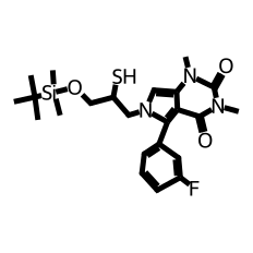 Cn1c(=O)c2c(-c3cccc(F)c3)n(CC(S)CO[Si](C)(C)C(C)(C)C)cc2n(C)c1=O